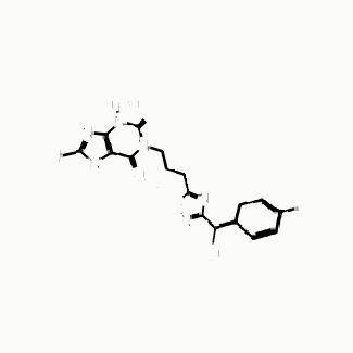 C=C1c2[nH]c(Cl)nc2N(CCCC)C(=O)N1CCCc1nc(C(CC)C2C=CC(Cl)=CC2)no1